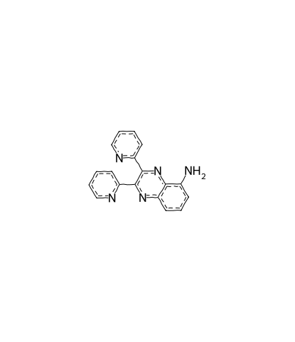 Nc1cccc2nc(-c3ccccn3)c(-c3ccccn3)nc12